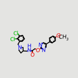 COc1ccc(-c2cnc(OCC(=O)NCC3CCN(Cc4cccc(Cl)c4Cl)C3)nc2)cc1